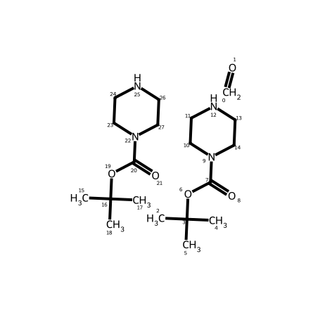 C=O.CC(C)(C)OC(=O)N1CCNCC1.CC(C)(C)OC(=O)N1CCNCC1